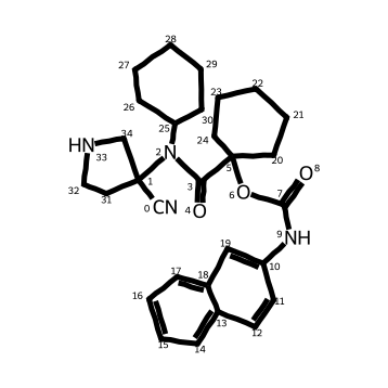 N#CC1(N(C(=O)C2(OC(=O)Nc3ccc4ccccc4c3)CCCCC2)C2CCCCC2)CCNC1